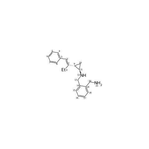 CC/C(=C\c1ccccc1)[C@@H]1C[C@H]1NCc1ccccc1CN